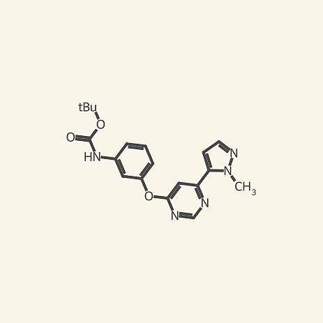 Cn1nccc1-c1cc(Oc2cccc(NC(=O)OC(C)(C)C)c2)ncn1